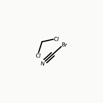 ClCCl.N#CBr